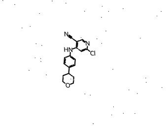 N#Cc1cnc(Cl)cc1Nc1ccc(C2CCOCC2)cc1